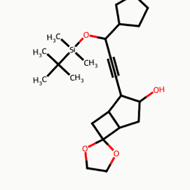 CC(C)(C)[Si](C)(C)OC(C#CC1C(O)CC2C1CC21OCCO1)C1CCCC1